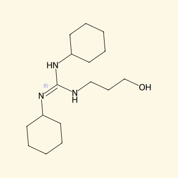 OCCCN/C(=N\C1CCCCC1)NC1CCCCC1